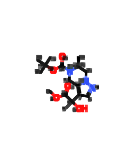 COC(=O)C(C)(O)c1cnn2c1CN(C(=O)OC(C)(C)C)[C@@H](C)C2